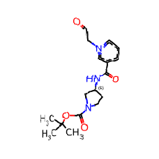 CC(C)(C)OC(=O)N1CC[C@H](NC(=O)c2ccc[n+](CC=O)c2)C1